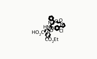 CCOC(=O)N1CCN(C(=O)[C@H](CCC(=O)O)NC(=O)c2cc(OCC(=O)N3CCCC3c3ccccc3Cl)c3ccccc3n2)CC1